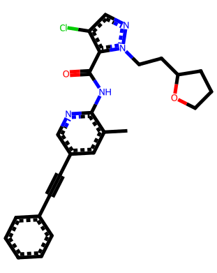 Cc1cc(C#Cc2ccccc2)cnc1NC(=O)c1c(Cl)cnn1CCC1CCCO1